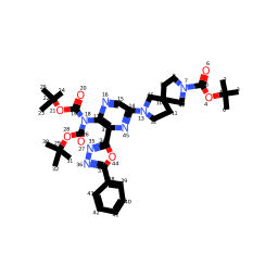 CC(C)(C)OC(=O)N1CCC2(CCN(c3cnc(N(C(=O)OC(C)(C)C)C(=O)OC(C)(C)C)c(-c4nnc(-c5ccccc5)o4)n3)C2)C1